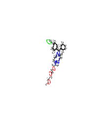 COCCOCCOCCN1CCN(C(c2ccccc2)c2ccc(Cl)cc2)CC1